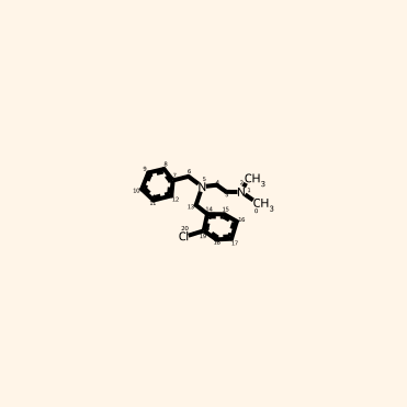 CN(C)CCN(Cc1ccccc1)Cc1ccccc1Cl